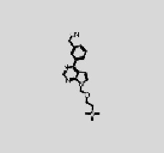 CS(C)(C)CCOCn1ccc2c(-c3cccc(CC#N)c3)ncnc21